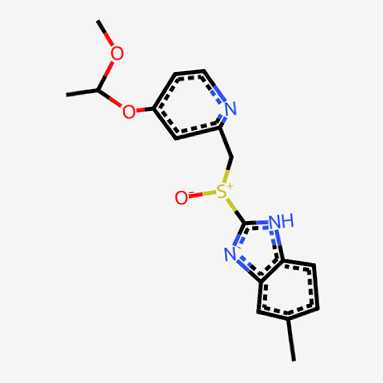 COC(C)Oc1ccnc(C[S+]([O-])c2nc3cc(C)ccc3[nH]2)c1